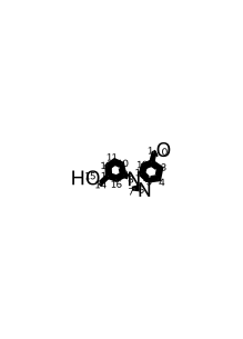 O=Cc1ccc2ncn(-c3cccc(CO)c3)c2c1